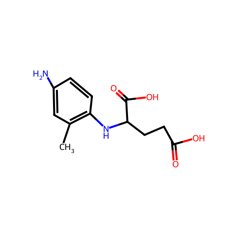 Cc1cc(N)ccc1NC(CCC(=O)O)C(=O)O